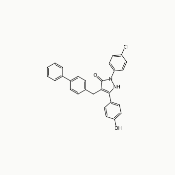 O=c1c(Cc2ccc(-c3ccccc3)cc2)c(-c2ccc(O)cc2)[nH]n1-c1ccc(Cl)cc1